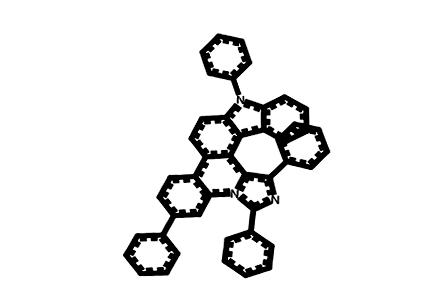 c1ccc(-c2ccc3c4ccc5c(c6ccccc6n5-c5ccccc5)c4c4c(-c5ccccc5)nc(-c5ccccc5)n4c3c2)cc1